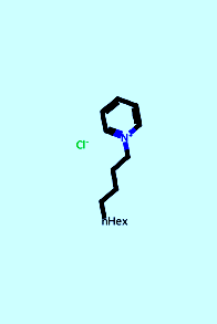 CCCCCCCCCC[n+]1ccccc1.[Cl-]